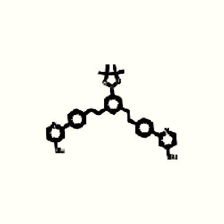 CC(C)(C)c1ccnc(-c2ccc(CCc3cc(CCc4ccc(-c5cc(C(C)(C)C)ccn5)cc4)cc(B4OC(C)(C)C(C)(C)O4)c3)cc2)c1